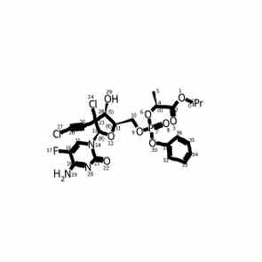 CC(C)OC(=O)[C@H](C)OP(=O)(OC[C@H]1O[C@@H](n2cc(F)c(N)nc2=O)C(Cl)(C#CCl)[C@H]1O)Oc1ccccc1